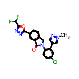 Cn1cc(-c2cc(Cl)ccc2N2Cc3ccc(-c4nnc(C(F)F)o4)cc3C2=O)cn1